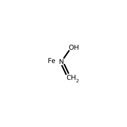 C=NO.[Fe]